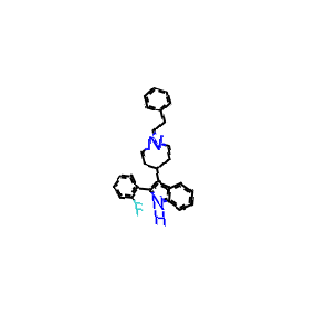 Fc1ccccc1-c1[nH]c2ccccc2c1C1CCN(CCc2ccccc2)CC1